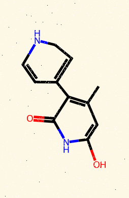 Cc1cc(O)[nH]c(=O)c1C1=CCNC=C1